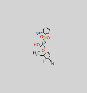 CCc1c(OCC2(CO)CN(S(=O)(=O)c3ccccc3C#N)C2)ccc(C#N)c1F